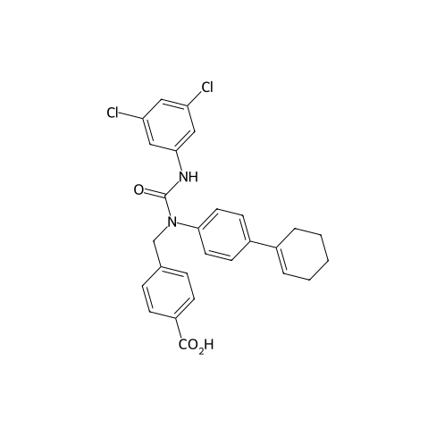 O=C(O)c1ccc(CN(C(=O)Nc2cc(Cl)cc(Cl)c2)c2ccc(C3=CCCCC3)cc2)cc1